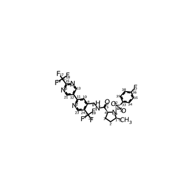 C[C@H]1CC[C@@H](C(=O)NCc2cc(-c3cnc(C(F)(F)F)nc3)ncc2C(F)(F)F)N1S(=O)(=O)c1ccc(F)cc1